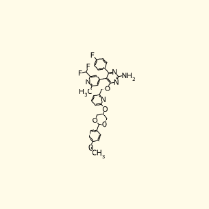 COc1ccc(C2OCC(Oc3cccc(COc4nc(N)nc(-c5ccc(F)cc5)c4-c4cc(C)nc(C(F)F)c4)n3)CO2)cc1